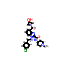 CC(C)N1CCC(NC(=O)c2nc3c(C(=O)N4CC(O)C4)cccc3n2CCc2ccc(Cl)cc2)CC1